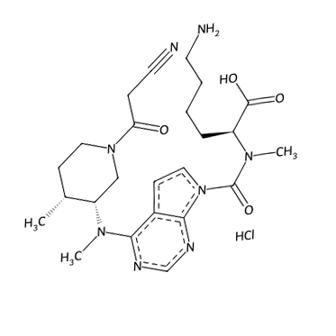 C[C@@H]1CCN(C(=O)CC#N)C[C@@H]1N(C)c1ncnc2c1ccn2C(=O)N(C)[C@@H](CCCCN)C(=O)O.Cl